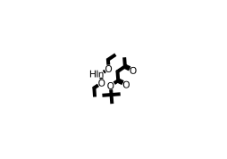 CC(=O)CC(=O)OC(C)(C)C.CC[O][InH][O]CC